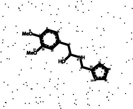 COc1ccc(CC(O)NCc2cccs2)cc1OC